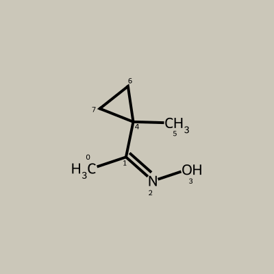 C/C(=N/O)C1(C)CC1